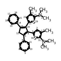 Cc1cc(C2=C(c3ccccc3)CC(c3ccccc3)=C2c2cc(C)c(N(C)C)s2)sc1N(C)C